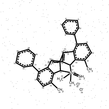 CC1=Cc2c(-c3ccccc3)ccc(C)c2[CH]1[Zr+2]([CH3])([CH3])(=[SiH2])[CH]1C(C)=Cc2c(-c3ccccc3)ccc(C)c21.[Cl-].[Cl-]